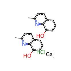 Cc1ccc2cccc(O)c2n1.Cc1ccc2cccc(O)c2n1.Cl.[Ga]